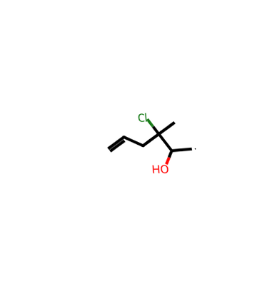 [CH2]C(O)C(C)(Cl)CC=C